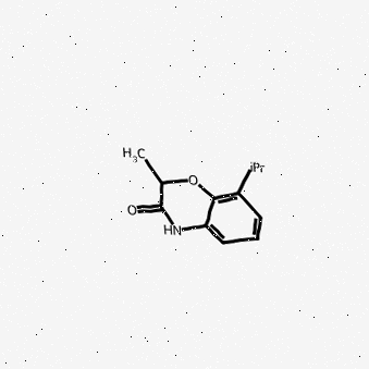 CC1Oc2c(cccc2C(C)C)NC1=O